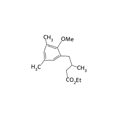 CCOC(=O)CC(C)Cc1cc(C)cc(C)c1OC